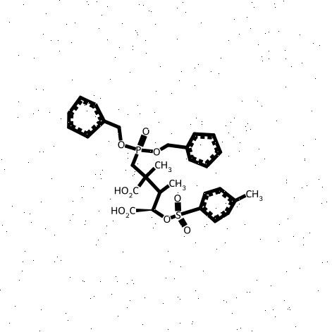 Cc1ccc(S(=O)(=O)O[C@@H](C(=O)O)C(C)C(C)(CP(=O)(OCc2ccccc2)OCc2ccccc2)C(=O)O)cc1